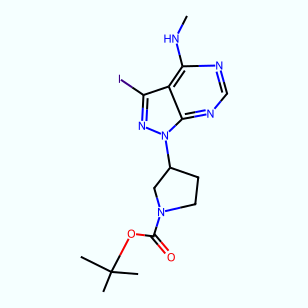 CNc1ncnc2c1c(I)nn2C1CCN(C(=O)OC(C)(C)C)C1